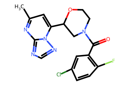 Cc1cc(C2CN(C(=O)c3cc(Cl)ccc3F)CCO2)n2ncnc2n1